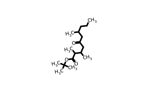 CCCC(C)CC(=O)CC(C)C(C)C(=O)OC(C)(C)C